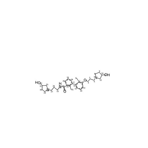 Cc1c(OCCCN2CCC(O)C2)cccc1-c1cccc(C(=O)NCCCN2CCC(O)C2)c1C